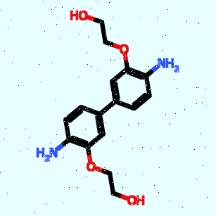 Nc1ccc(-c2ccc(N)c(OCCO)c2)cc1OCCO